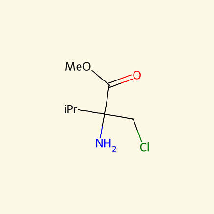 COC(=O)C(N)(CCl)C(C)C